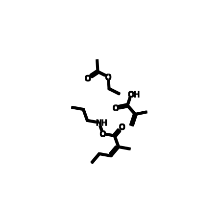 C=C(C)C(=O)O.CCC=C(C)C(=O)ONCCC.CCOC(C)=O